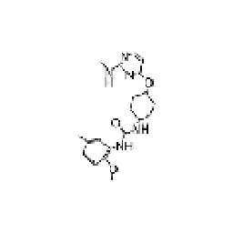 CNc1nccc(O[C@H]2CC[C@H](NC(=O)Nc3cc(C)ccc3OC)CC2)n1